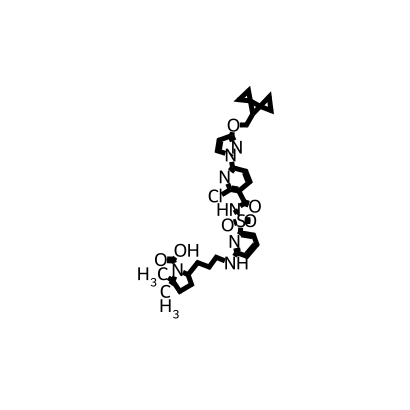 CC1(C)CCC(CCCNc2cccc(S(=O)(=O)NC(=O)c3ccc(-n4ccc(OCC5C6(CC6)C56CC6)n4)nc3Cl)n2)N1C(=O)O